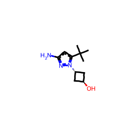 CC(C)(C)c1cc(N)nn1[C@H]1C[C@H](O)C1